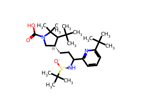 CC(C)(C)c1cccc(C(CC[C@@H]2CN(C(=O)O)C(C)(C)C2C(C)(C)C)N[S+]([O-])C(C)(C)C)n1